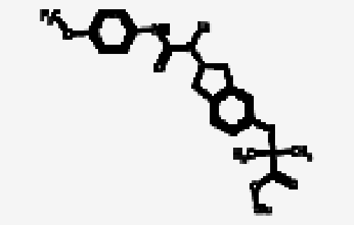 CCN(C(=O)Nc1ccc(OC(F)(F)F)cc1)[C@@H]1Cc2ccc(SC(C)(C)C(=O)OC(C)(C)C)cc2C1